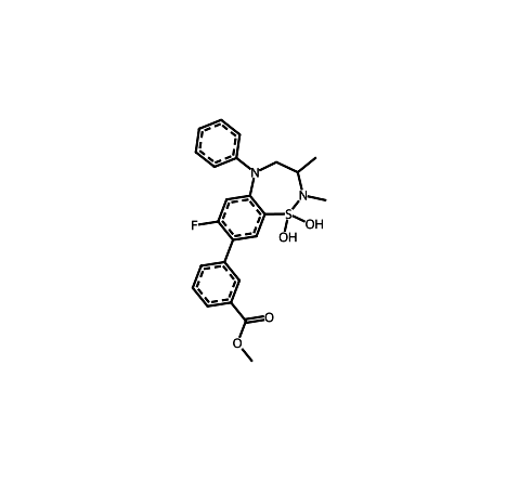 COC(=O)c1cccc(-c2cc3c(cc2F)N(c2ccccc2)CC(C)N(C)S3(O)O)c1